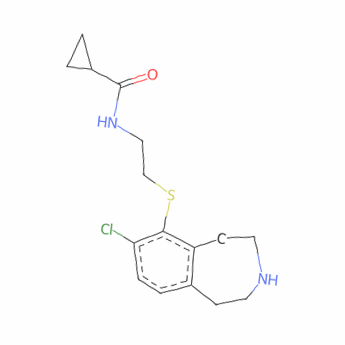 O=C(NCCSc1c(Cl)ccc2c1CCNCC2)C1CC1